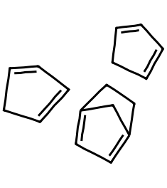 C1=C2CCC(=C1)C2.C1=CCC=C1.C1=CCC=C1